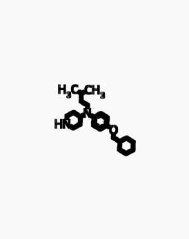 CC(C)CCN(c1ccc(OCC2CCCCC2)cc1)C1CCNCC1